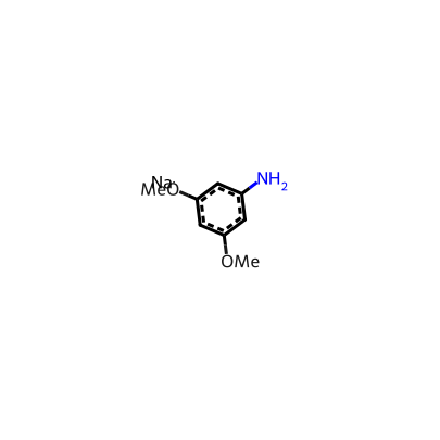 COc1cc(N)cc(OC)c1.[Na]